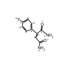 NC(=O)C=C(C(N)=O)c1ccc(F)cc1